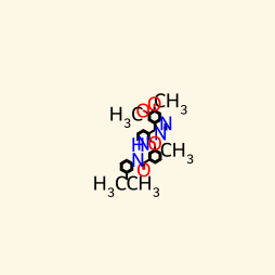 COc1cc2ncnc(-c3cccnc3Oc3cc(C(=O)Nc4cccc(C(C)C)c4)ccc3C)c2cc1OC